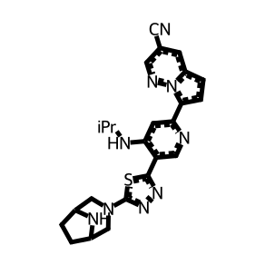 CC(C)Nc1cc(-c2ccc3cc(C#N)cnn23)ncc1-c1nnc(N2CC3CCC(C2)N3)s1